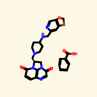 O=C(O)c1ccccc1.O=c1cnc2ccc(=O)n3c2n1C[C@H]3CN1CCC(NCc2cc3c(cn2)OCS3)CC1